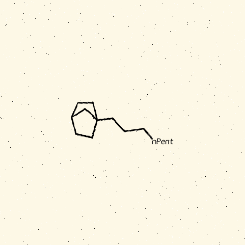 CCCCCCCCC12CCC(CC1)C2